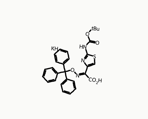 CC(C)(C)OC(=O)Nc1nc(/C(=N\OC(c2ccccc2)(c2ccccc2)c2ccccc2)C(=O)O)cs1.[KH]